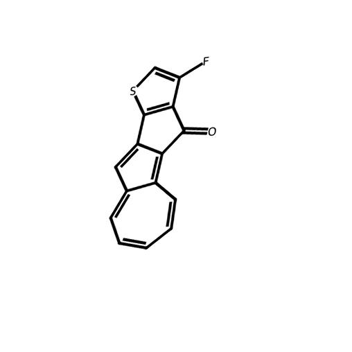 O=C1c2c3cccccc-3cc2-c2scc(F)c21